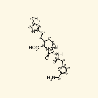 Cc1nnc(SCC2=C(C(=O)O)N3C(=O)[C@@H](NC(=O)Cc4ccc(CN)s4)[C@H]3SC2)s1